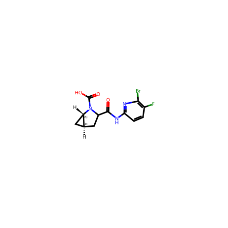 O=C(Nc1ccc(F)c(Br)n1)C1C[C@H]2C[C@@H]2N1C(=O)O